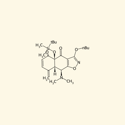 C=C1C=CC(=O)[C@]2(O[Si](C)(C)C(C)(C)C)C(=O)c3c(OCCCC)noc3[C@@H](N(C)C)[C@H]12